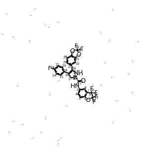 O=C(Nc1ccc2c(c1)C(F)(F)C(F)(F)O2)N1CC(c2ccc(F)cc2)=C(c2ccc3c(c2)OC(F)(F)O3)N1